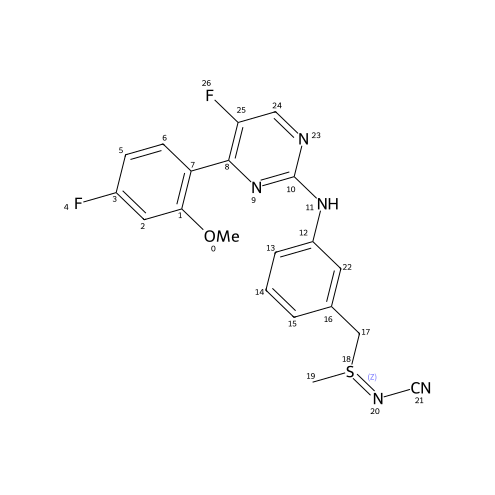 COc1cc(F)ccc1-c1nc(Nc2cccc(C/S(C)=N\C#N)c2)ncc1F